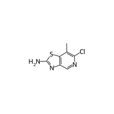 Cc1c(Cl)ncc2nc(N)sc12